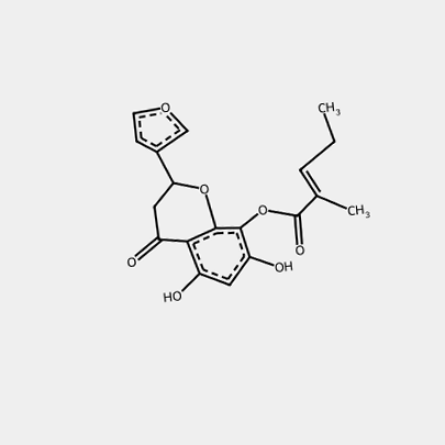 CCC=C(C)C(=O)Oc1c(O)cc(O)c2c1OC(c1ccoc1)CC2=O